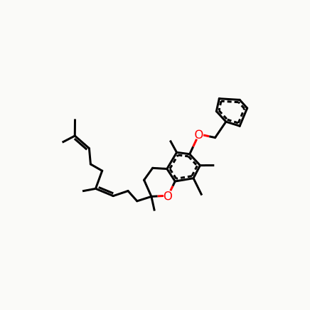 CC(C)=CCCC(C)=CCCC1(C)CCc2c(C)c(OCc3ccccc3)c(C)c(C)c2O1